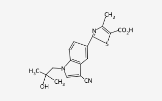 Cc1nc(-c2ccc3c(c2)c(C#N)cn3CC(C)(C)O)sc1C(=O)O